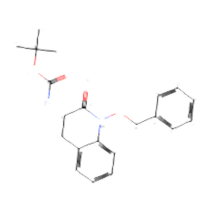 CC(C)(C)OC(=O)N[C@H]1Cc2ccccc2N(OCc2ccccc2)C1=O